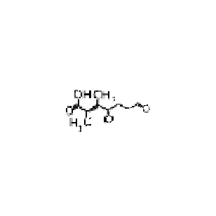 CC(C(=O)O)=C(C)C(=O)CCC=O